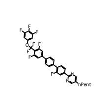 CCCCCc1cnc(-c2ccc(-c3ccc(-c4cc(F)c(C(F)(F)Oc5cc(F)c(F)c(F)c5)c(F)c4)cc3)c(F)c2)nc1